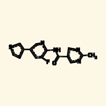 Cc1ncc(C(=O)Nc2ncc(-c3ccsc3)cc2F)cn1